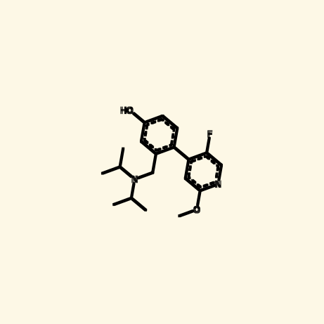 COc1cc(-c2ccc(O)cc2CN(C(C)C)C(C)C)c(F)cn1